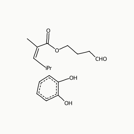 CC(=CC(C)C)C(=O)OCCCC=O.Oc1ccccc1O